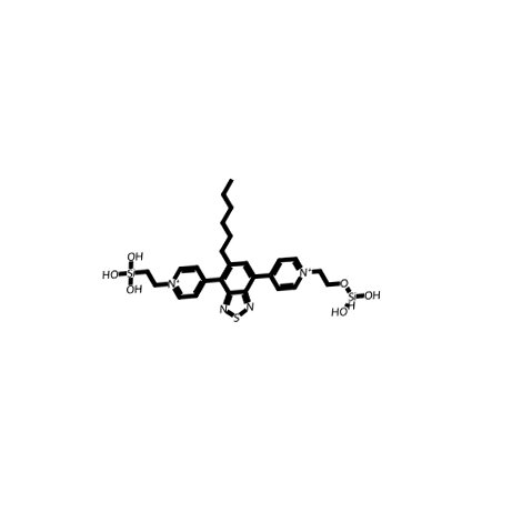 CCCCCCc1cc(-c2cc[n+](CCO[SiH](O)O)cc2)c2nsnc2c1-c1cc[n+](CC[Si](O)(O)O)cc1